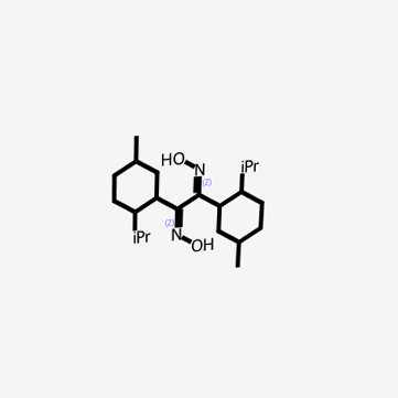 CC1CCC(C(C)C)C(C(=N/O)/C(=N\O)C2CC(C)CCC2C(C)C)C1